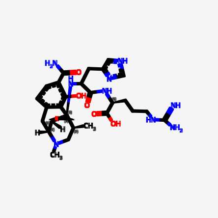 C[C@H]1CN(C)[C@@H]2Cc3ccc(C(N)=O)c(O)c3[C@]13C[C@H](NC(Cc1c[nH]cn1)C(=O)N[C@@H](CCCNC(=N)N)C(=O)O)CC[C@@H]23